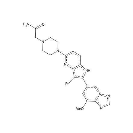 COc1cc(-c2[nH]c3ccc(N4CCN(CC(N)=O)CC4)nc3c2C(C)C)cn2ncnc12